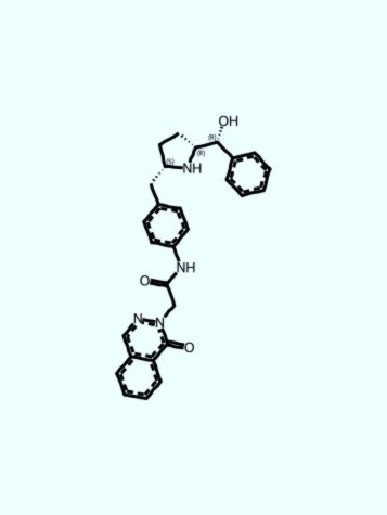 O=C(Cn1ncc2ccccc2c1=O)Nc1ccc(C[C@@H]2CC[C@H]([C@H](O)c3ccccc3)N2)cc1